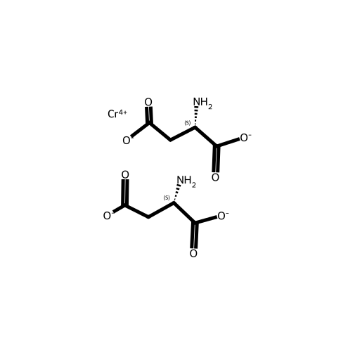 N[C@@H](CC(=O)[O-])C(=O)[O-].N[C@@H](CC(=O)[O-])C(=O)[O-].[Cr+4]